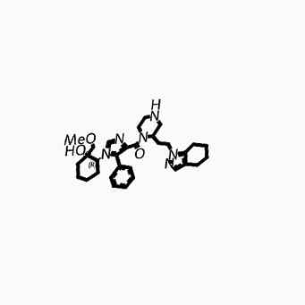 COC[C@]1(O)CCCC[C@H]1n1cnc(C(=O)N2CCNCC2CCn2ncc3c2CCCC3)c1-c1ccccc1